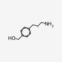 NC[CH]Cc1ccc(CO)cc1